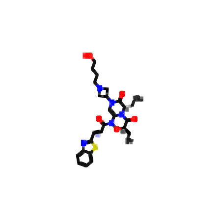 CC(C)C[C@H]1ON(C(=O)/C=C/c2nc3ccccc3s2)C2=CN(C3CN(CCCCO)C3)C(=O)[C@H](CC(C)(C)C)N2C1=O